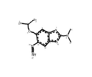 CCC(CC)Oc1cc2nc(N(C)C)sc2cc1N=N